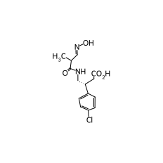 CC(C=NO)C(=O)NC[C@H](CC(=O)O)c1ccc(Cl)cc1